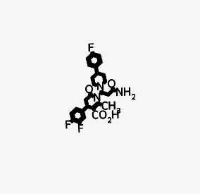 CC1=C(C(=O)O)C(c2ccc(F)c(F)c2)CC(=O)N1C(CC(N)=O)N1CCC(c2ccc(F)cc2)CC1